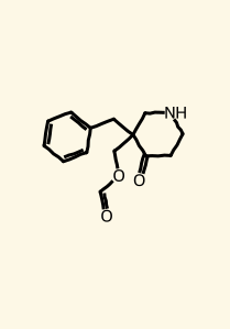 O=COCC1(Cc2ccccc2)CNCCC1=O